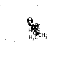 CCC(C)OP(=O)(O)C(F)(F)c1ccc(CN2CCOCC2)cc1Br